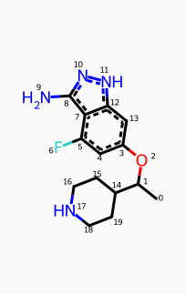 CC(Oc1cc(F)c2c(N)n[nH]c2c1)C1CCNCC1